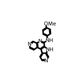 COc1ccc(Nc2nc3cnccc3c3c2[nH]c2cnccc23)cc1